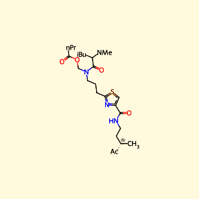 CCCC(=O)OCN(CCCc1nc(C(=O)NCC[C@H](C)C(C)=O)cs1)C(=O)C(NC)C(C)CC